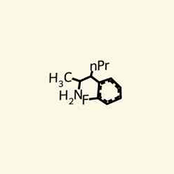 CCCC(c1ccccc1F)C(C)N